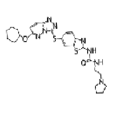 O=C(NCCN1CCCC1)Nc1nc2ccc(Sc3nnc4ccc(OC5CCCCC5)nn34)cc2s1